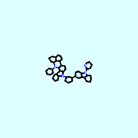 c1ccc(N2c3cccc4cccc(c34)-c3ccc4c(c32)c2ccccc2n4-c2cccc(-c3ccc4c(c3)c3ccccc3n4-c3ccccn3)c2)cc1